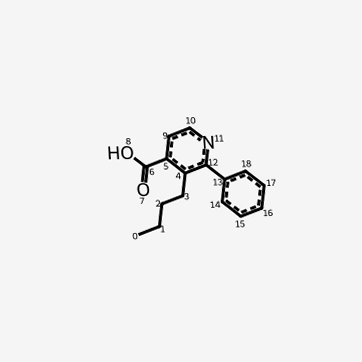 CCCCc1c(C(=O)O)ccnc1-c1ccccc1